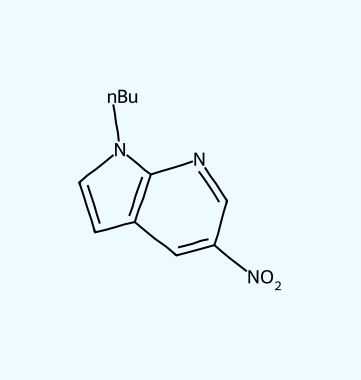 CCCCn1ccc2cc([N+](=O)[O-])cnc21